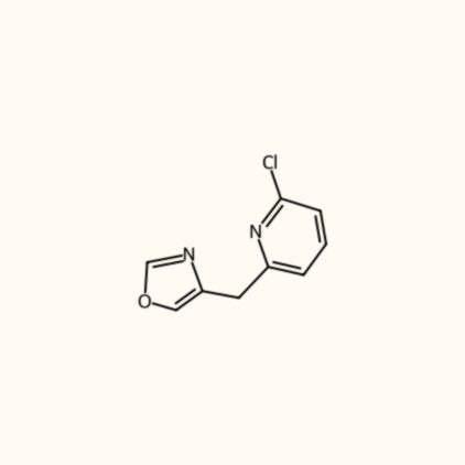 Clc1cccc(Cc2cocn2)n1